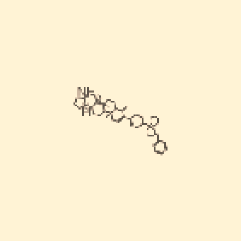 CC1C(C2=CCC(C(=O)OCc3ccccc3)CC2)=CCC2(C)C1CCC1(C)C2CCC2[C@H]3CCCC3(N)CC[C@]21C